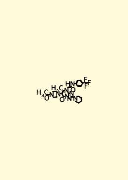 CC(=O)N1CCN(c2c(C)n(CC(=O)Nc3ccc(C(F)(F)F)cc3)c3nc(N4CCCCC4)nn3c2=O)CC1